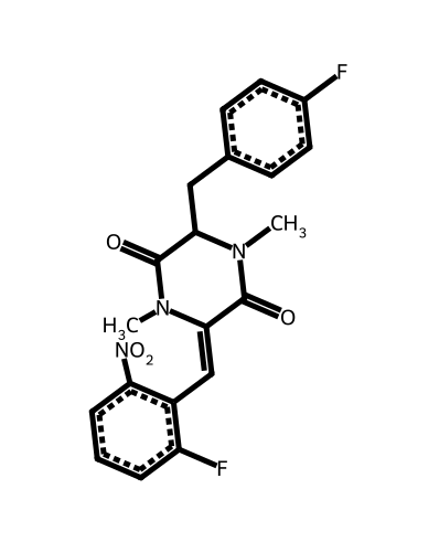 CN1C(=O)C(Cc2ccc(F)cc2)N(C)C(=O)C1=Cc1c(F)cccc1[N+](=O)[O-]